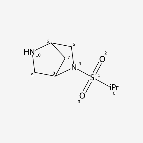 CC(C)S(=O)(=O)N1CC2CC1CN2